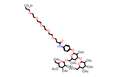 CC(=O)OCC1O[C@H](O[C@@H]2C(OC(C)=O)[C@@H](Oc3ccc(NC(=O)CCOCCOCCOCCOCCOCCC(=O)O)cc3)OC(CO[C@H]3OC(COC(C)=O)[C@@H](OC(C)=O)[C@H](OC(C)=O)C3OC(C)=O)[C@H]2OC(C)=O)C(OC(C)=O)[C@@H](OC(C)=O)[C@@H]1OC(C)=O